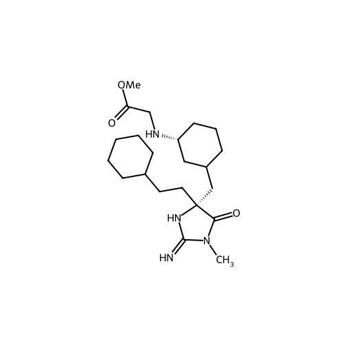 COC(=O)CN[C@@H]1CCCC(C[C@@]2(CCC3CCCCC3)NC(=N)N(C)C2=O)C1